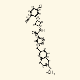 CCN1CCc2cc(Cn3cc(C(=O)N[C@H]4C[C@@H](c5cc(Cl)ccc5C#N)C4)nn3)ccc2C1